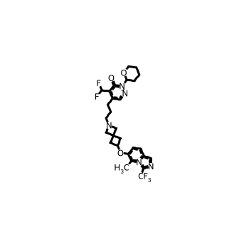 Cc1c(OC2CC3(C2)CN(CCCc2cnn(C4CCCCO4)c(=O)c2C(F)F)C3)ccc2cnc(C(F)(F)F)n12